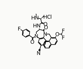 CN[C@@H](C)C(=O)N[C@H]1CN(C(=O)c2ccc(F)cc2)c2cc(C#N)ccc2N(Cc2c(OC(F)F)ccc3ccccc23)C1=O.Cl